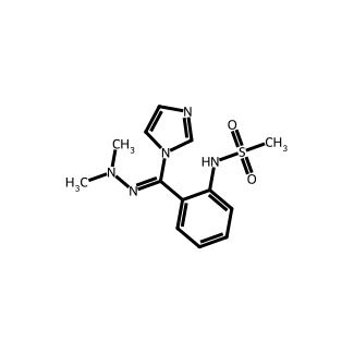 CN(C)N=C(c1ccccc1NS(C)(=O)=O)n1ccnc1